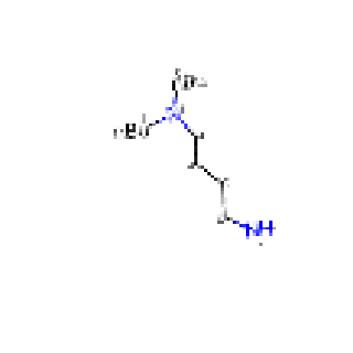 CCCCN(CCCC)CCCC[NH]